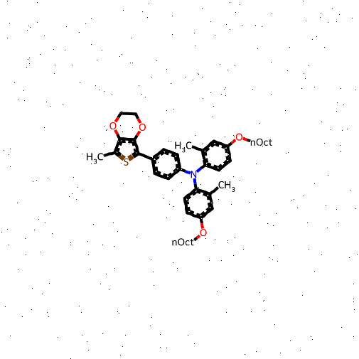 CCCCCCCCOc1ccc(N(c2ccc(-c3sc(C)c4c3OCCO4)cc2)c2ccc(OCCCCCCCC)cc2C)c(C)c1